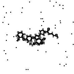 COC/C=C/C(=O)N1CCC(c2cn(-c3ccc(Oc4ccccc4F)cc3)c3c(N)n[nH]c(=O)c23)C1